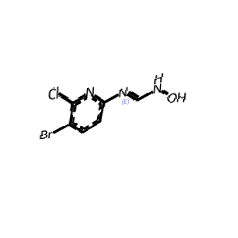 ON/C=N/c1ccc(Br)c(Cl)n1